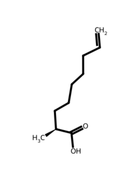 C=CCCCCC[C@H](C)C(=O)O